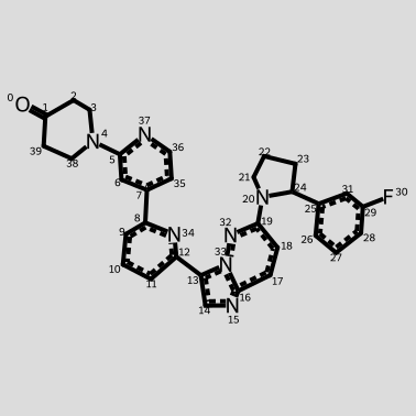 O=C1CCN(c2cc(-c3cccc(-c4cnc5ccc(N6CCCC6c6cccc(F)c6)nn45)n3)ccn2)CC1